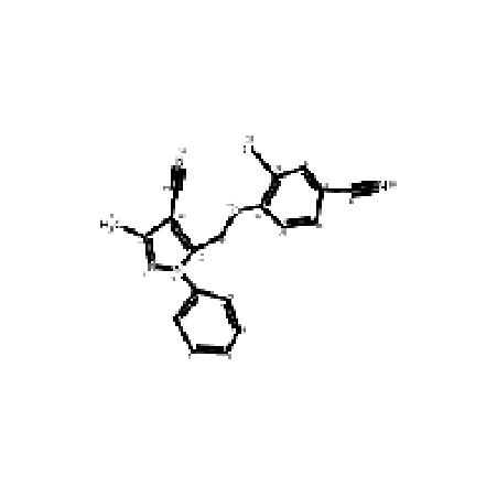 Cc1nn(-c2ccccc2)c(COc2ccc(C#N)cc2Cl)c1C#N